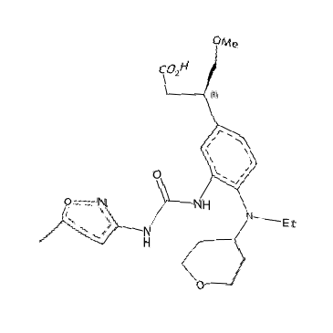 CCN(c1ccc([C@H](COC)CC(=O)O)cc1NC(=O)Nc1cc(C)on1)C1CCOCC1